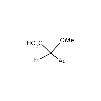 CCC(OC)(C(C)=O)C(=O)O